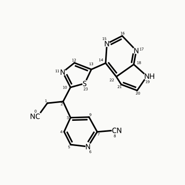 N#CCC(c1ccnc(C#N)c1)c1ncc(-c2ncnc3[nH]ccc23)s1